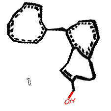 OC1=Cc2c(cccc2-c2ccccc2)C1.[Ti]